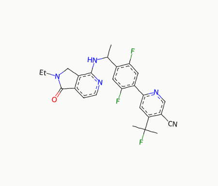 CCN1Cc2c(ccnc2NC(C)c2cc(F)c(-c3cc(C(C)(C)F)c(C#N)cn3)cc2F)C1=O